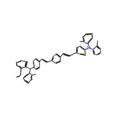 CCc1ccccc1C(c1ccc(C=Cc2ccc(C=Cc3ccc(N(c4ccccc4C)c4ccccc4C)cc3)cc2)cc1)c1ccccc1C